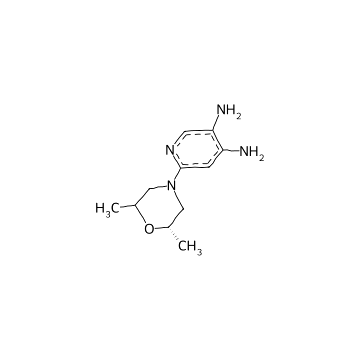 CC1CN(c2cc(N)c(N)cn2)C[C@H](C)O1